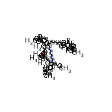 COCCN1/C(=C/C=C/C=C/C=C/C2=[N+](CCCCCC(=O)Oc3c(F)c(F)c(S(=O)(=O)OC)c(F)c3F)c3ccc(S(=O)(=O)OC)cc3C2(C)CCOC)C(C)(CCCS(=O)(=O)OC)c2cc(S(=O)(=O)OC)ccc21